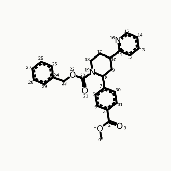 COC(=O)c1ccc(C2CC(c3ccccn3)CCN2C(=O)OCc2ccccc2)cc1